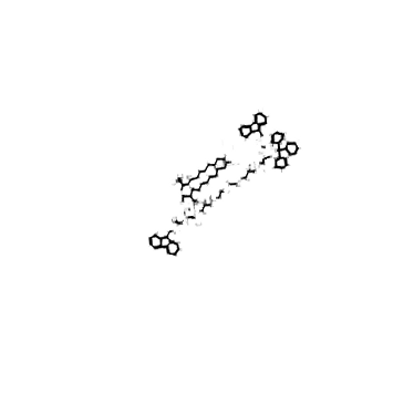 CCCCCCCCCCC(C[C@@H](CSC[C@H](NC(=O)OCC1c2ccccc2-c2ccccc21)C(=O)NCCCOCCOCCOCCCNC(=O)C(CSC(c1ccccc1)(c1ccccc1)c1ccccc1)NC(=O)OCC1c2ccccc2-c2ccccc21)C(CCCCCCCCCC)C(=O)O)C(=O)O